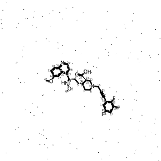 CON[C@H](CC[C@@H]1CCN(CC#Cc2cc(F)cc(F)c2F)C[C@@H]1C(=O)O)c1ccnc2ccc(OC)cc12